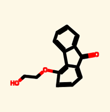 O=C1c2ccccc2-c2c(OCCO)cccc21